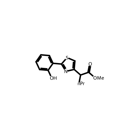 CCCC(C(=O)OC)c1csc(-c2ccccc2O)n1